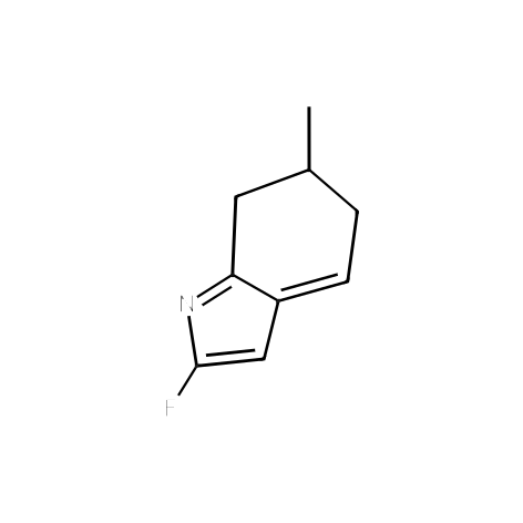 CC1CC=C2C=C(F)N=C2C1